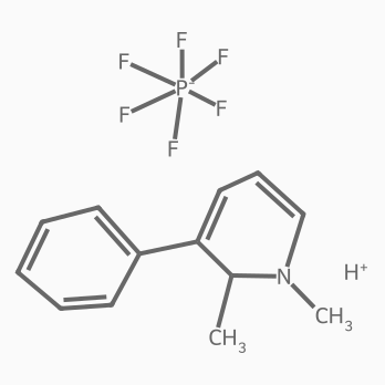 CC1C(c2ccccc2)=CC=CN1C.F[P-](F)(F)(F)(F)F.[H+]